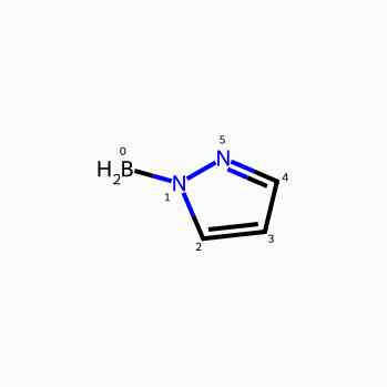 Bn1cccn1